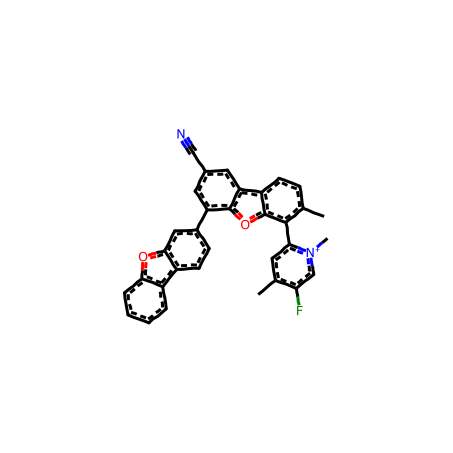 Cc1cc(-c2c(C)ccc3c2oc2c(-c4ccc5c(c4)oc4ccccc45)cc(C#N)cc23)[n+](C)cc1F